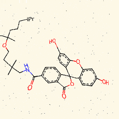 CC(C)CCCC(C)(C)OCCC(C)(C)CNC(=O)c1ccc2c(c1)C(=O)OC21c2ccc(O)cc2Oc2cc(O)ccc21